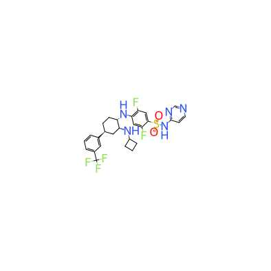 O=S(=O)(Nc1ccncn1)c1cc(F)c(N[C@H]2CC[C@H](c3cccc(C(F)(F)F)c3)C[C@@H]2NC2CCC2)cc1F